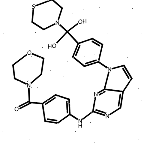 O=C(c1ccc(Nc2ncc3ccn(-c4ccc(C(O)(O)N5CCSCC5)cc4)c3n2)cc1)N1CCOCC1